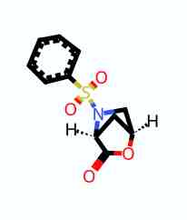 O=C1O[C@H]2C[C@@H]1N(S(=O)(=O)c1ccccc1)C2